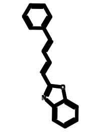 C(/C=C/c1nc2ccccc2o1)=C\c1ccccc1